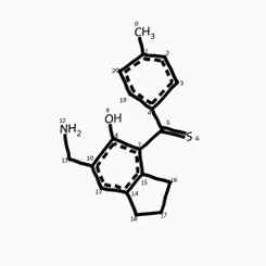 Cc1ccc(C(=S)c2c(O)c(CN)cc3c2CCC3)cc1